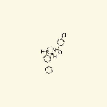 O=C(c1ccc(Cl)cc1)N1CC[C@@H]2C[C@@H]1c1cc(-c3ccccc3)ccc12